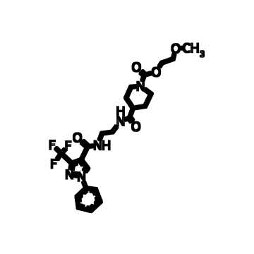 COCCOC(=O)N1CCC(C(=O)NCCNC(=O)c2cn(-c3ccccc3)nc2C(F)(F)F)CC1